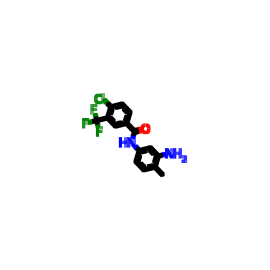 Cc1ccc(NC(=O)c2ccc(Cl)c(C(F)(F)F)c2)cc1N